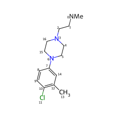 CNCCN1CCN(c2ccc(Cl)c(C)c2)CC1